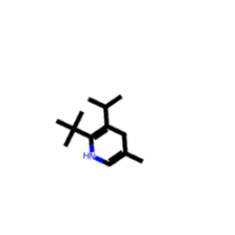 CC1=CNC(C(C)(C)C)=C(C(C)C)C1